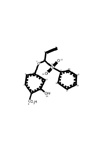 C=CC(Oc1ccc(C(=O)O)c(O)c1)S(=O)(=O)c1ccccc1